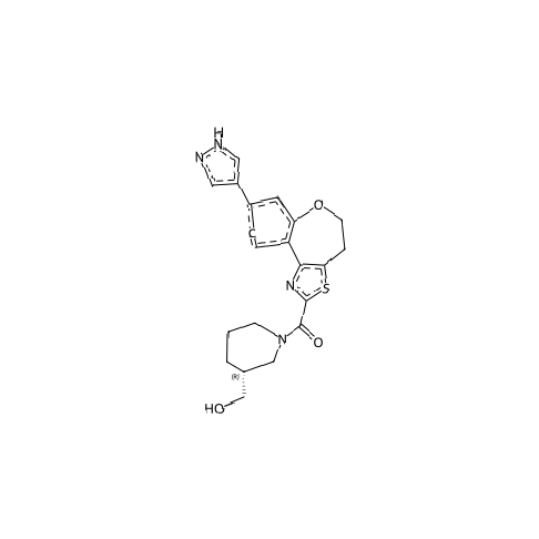 O=C(c1nc2c(s1)CCOc1cc(-c3cn[nH]c3)ccc1-2)N1CCC[C@@H](CO)C1